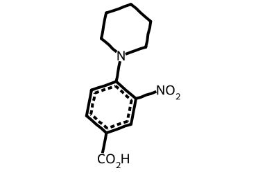 O=C(O)c1ccc(N2CCCCC2)c([N+](=O)[O-])c1